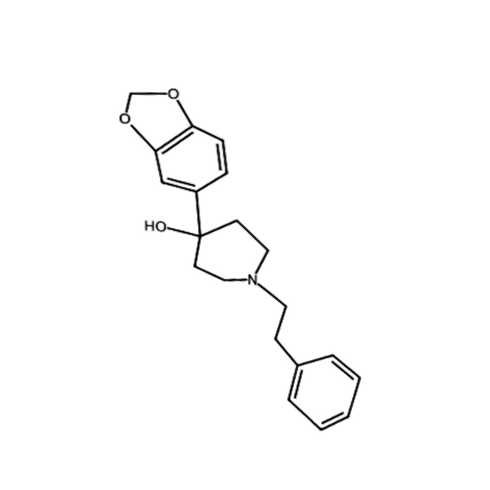 OC1(c2ccc3c(c2)OCO3)CCN(CCc2ccccc2)CC1